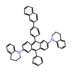 c1ccc(-c2c3ccc(N4CCCc5ccccc54)cc3c(-c3ccc(-c4ccc5ccccc5c4)cc3)c3ccc(N4CCCc5ccccc54)cc23)cc1